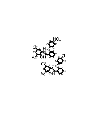 CC(=O)c1cc(Cl)cc(NCc2ccccc2Sc2ccc(Cl)cc2)c1O.CC(=O)c1cc(Cl)cc(NCc2ccccc2Sc2ccc([N+](=O)[O-])cc2)c1O